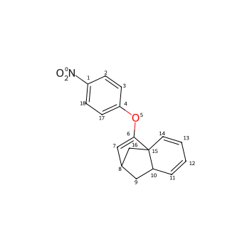 O=[N+]([O-])c1ccc(OC2=CC3CC4C=CC=CC24C3)cc1